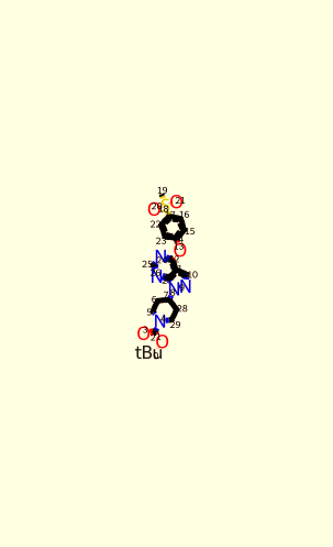 CC(C)(C)OC(=O)N1CCC(n2ncc3c(Oc4ccc(S(C)(=O)=O)cc4)ncnc32)CC1